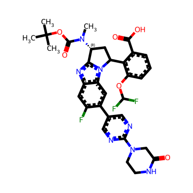 CN(C(=O)OC(C)(C)C)[C@@H]1CC(c2c(OC(F)F)cccc2C(=O)O)n2c1nc1cc(F)c(-c3cnc(N4CCNC(=O)C4)nc3)cc12